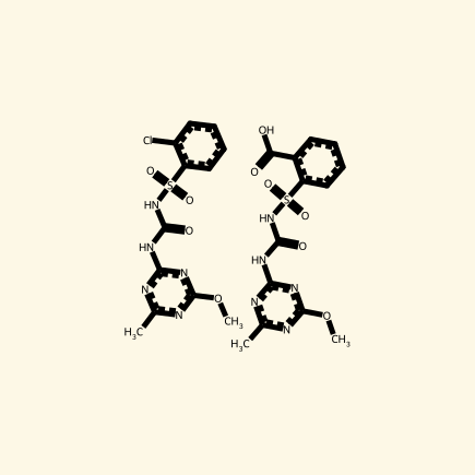 COc1nc(C)nc(NC(=O)NS(=O)(=O)c2ccccc2C(=O)O)n1.COc1nc(C)nc(NC(=O)NS(=O)(=O)c2ccccc2Cl)n1